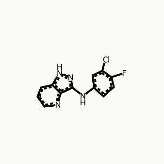 Fc1ccc(Nc2n[nH]c3cccnc23)cc1Cl